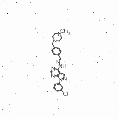 CN1CCN(Cc2ccc(/C=N/Nc3ncnc4c3cnn4-c3cccc(Cl)c3)cc2)CC1